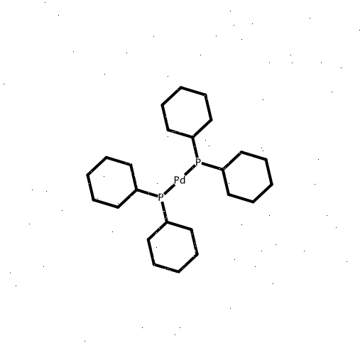 C1CCC([P]([Pd][P](C2CCCCC2)C2CCCCC2)C2CCCCC2)CC1